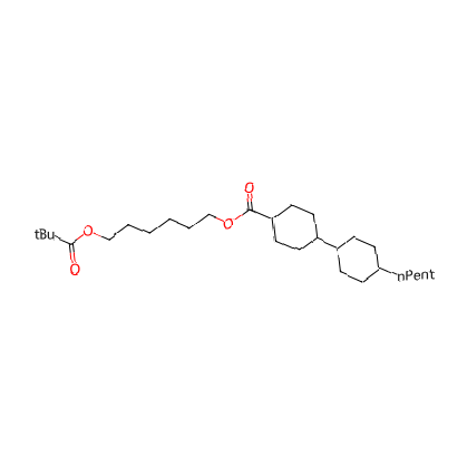 CCCCCC1CCC(C2CCC(C(=O)OCCCCCCOC(=O)C(C)(C)C)CC2)CC1